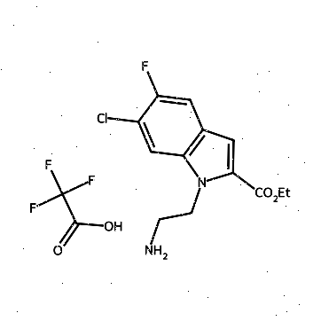 CCOC(=O)c1cc2cc(F)c(Cl)cc2n1CCN.O=C(O)C(F)(F)F